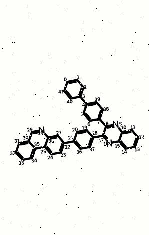 c1ccc(-c2ccc(-c3nc4ccccc4nc3-c3ccc(-c4ccc5c(c4)ncc4ccccc45)cc3)cc2)cc1